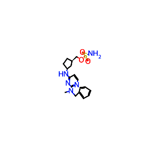 CN(Cc1ccccc1)c1nccc(N[C@H]2CC[C@@H](COS(N)(=O)=O)C2)n1